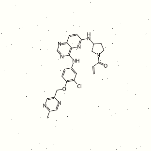 C=CC(=O)N1CCC(Nc2ccc3ncnc(Nc4ccc(OCc5cnc(C)cn5)c(Cl)c4)c3n2)C1